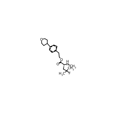 CN[C@@H](CC(C)(C)F)C(=O)OCCc1ccc(C2CCOCC2)cc1